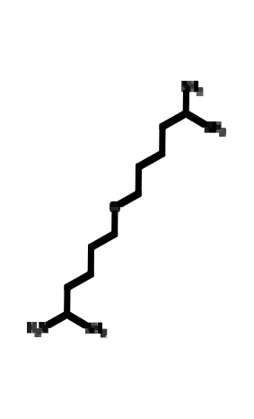 NC(N)CCCCOCCCCC(N)N